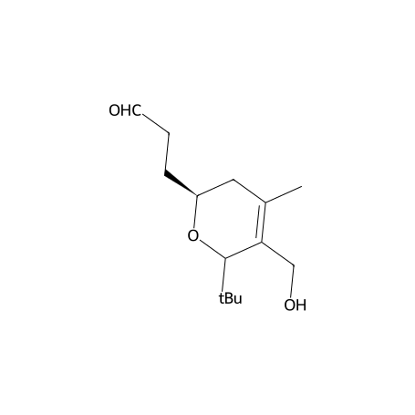 CC1=C(CO)C(C(C)(C)C)O[C@@H](CCC=O)C1